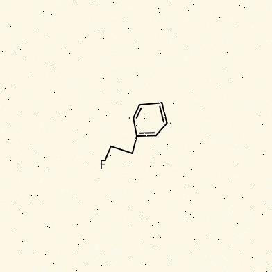 FCCc1[c]cc[c]c1